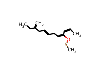 C=C(CC)C/C=C/C/C=C(\C=C/C)OSC